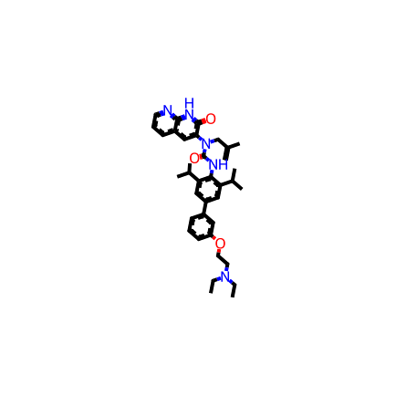 C=C(C)CN(C(=O)Nc1c(C(C)C)cc(-c2cccc(OCCN(CC)CC)c2)cc1C(C)C)c1cc2cccnc2[nH]c1=O